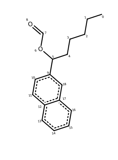 CCCCCC(O[C]=O)c1ccc2ccccc2c1